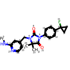 CC(C)Nc1cc(CN2C(=O)N(c3ccc(C4(F)CC4)cc3)C(=O)C2(C)C)ccn1